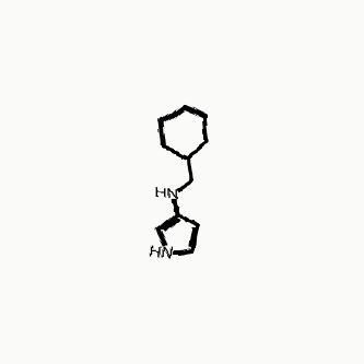 c1cc(NCC2CCCCC2)c[nH]1